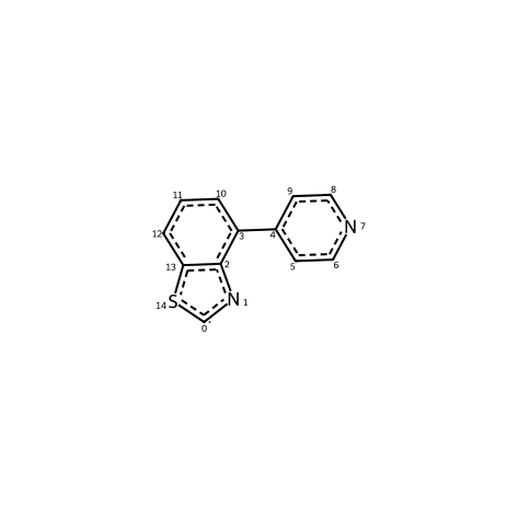 [c]1nc2c(-c3ccncc3)cccc2s1